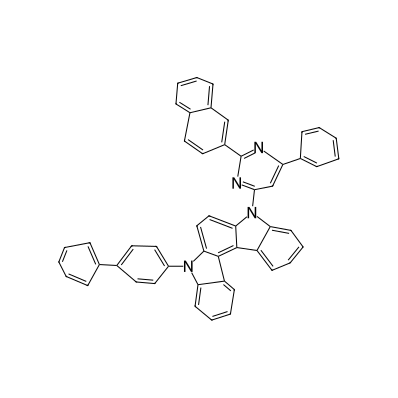 c1ccc(-c2ccc(-n3c4ccccc4c4c5c6ccccc6n(-c6cc(-c7ccccc7)nc(-c7ccc8ccccc8c7)n6)c5ccc43)cc2)cc1